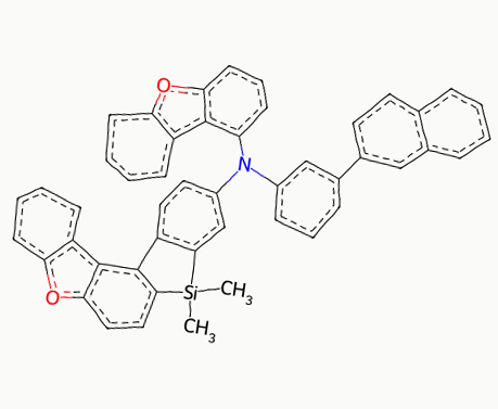 C[Si]1(C)c2cc(N(c3cccc(-c4ccc5ccccc5c4)c3)c3cccc4oc5ccccc5c34)ccc2-c2c1ccc1oc3ccccc3c21